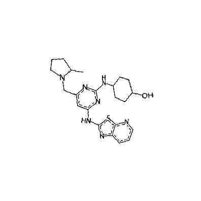 CC1CCCN1Cc1cc(Nc2nc3cccnc3s2)nc(NC2CCC(O)CC2)n1